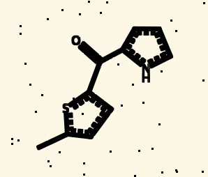 Cc1ccc(C(=O)c2ccc[nH]2)s1